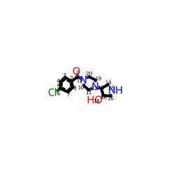 O=C(c1ccc(Cl)cc1)N1CCN(C2CNC[C@@H]2O)CC1